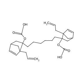 C=CCC12C=CC(C1)CC2(CCCCCCC1(OC(=O)O)CC2C=CC1(CC=C)C2)OC(=O)O